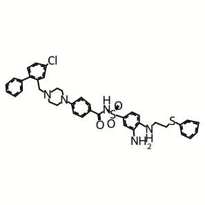 Nc1cc(S(=O)(=O)NC(=O)c2ccc(N3CCN(Cc4cc(Cl)ccc4-c4ccccc4)CC3)cc2)ccc1NCCSc1ccccc1